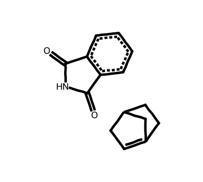 C1=C2CCC(C1)C2.O=C1NC(=O)c2ccccc21